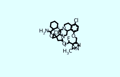 Cn1nnc(COc2ccc(Cl)c3c2C(CN2CC4(CC4)CC2=O)N(C(=O)[C@@H]2CCCC[C@]2(C)C(N)=O)CC3)c1C(F)F